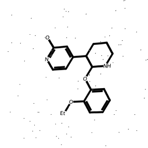 CCOc1ccccc1OC1NCCCC1c1ccnc([O])c1